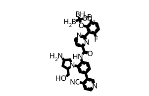 BC(B)(B)Oc1c(F)ccc(F)c1-c1nccc(C(=O)Nc2ccc(-c3cnccc3C#N)cc2N2CC(N)CC2CO)n1